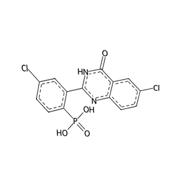 O=c1[nH]c(-c2cc(Cl)ccc2P(=O)(O)O)nc2ccc(Cl)cc12